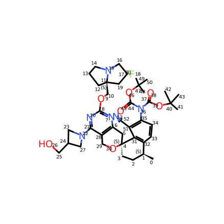 C[C@H]1CC[C@]2(Cc3nc(OC[C@@]45CCCN4C[C@H](F)C5)nc(N4CC(CO)C4)c3CO2)c2c1ccc(N(C(=O)OC(C)(C)C)C(=O)OC(C)(C)C)c2C#N